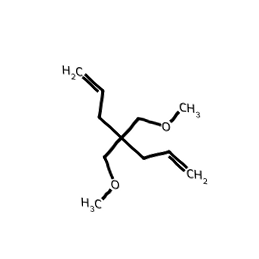 C=CCC(CC=C)(COC)COC